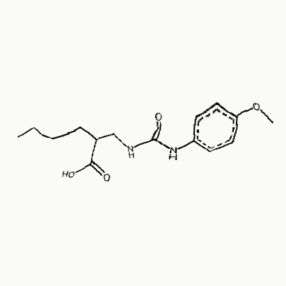 CCCCC(CNC(=O)Nc1ccc(OC)cc1)C(=O)O